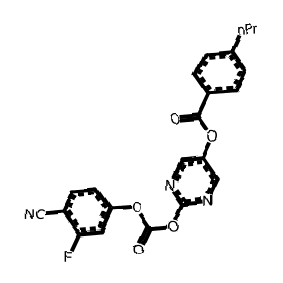 CCCc1ccc(C(=O)Oc2cnc(OC(=O)Oc3ccc(C#N)c(F)c3)nc2)cc1